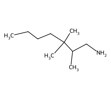 CCCCC(C)(C)C(C)CN